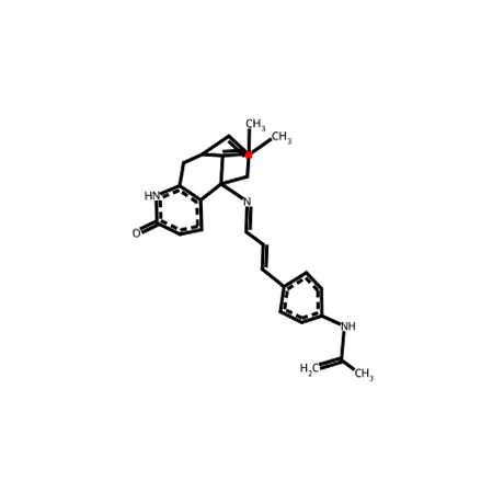 C=C(C)Nc1ccc(/C=C/C=N/C23CC(C)=CC(Cc4[nH]c(=O)ccc42)/C3=C\C)cc1